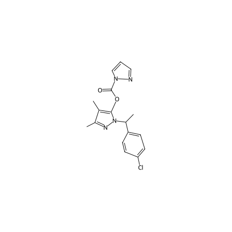 Cc1nn(C(C)c2ccc(Cl)cc2)c(OC(=O)n2cccn2)c1C